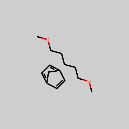 C1=CC2=CC=C1C2.COCCCCCOC